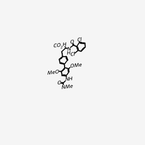 CNC(=O)Nc1cc(OC)c(-c2ccc(C[C@H](NC(=O)c3c(Cl)cccc3Cl)C(=O)O)cc2)c(OC)c1